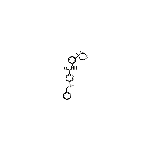 CC1(c2cccc(NC(=O)c3ccc(NCc4ccccc4)cn3)c2)CCSC=N1